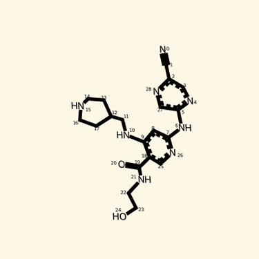 N#Cc1cnc(Nc2cc(NCC3CCNCC3)c(C(=O)NCCO)cn2)cn1